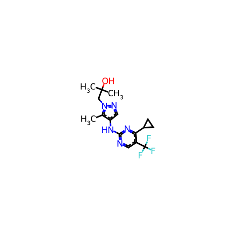 Cc1c(Nc2ncc(C(F)(F)F)c(C3CC3)n2)cnn1CC(C)(C)O